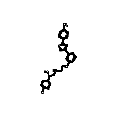 O[C@@H](CNCCOc1cccc(-c2csc(-c3ccc(C(F)(F)F)cc3)n2)c1)c1ccc(Cl)nc1